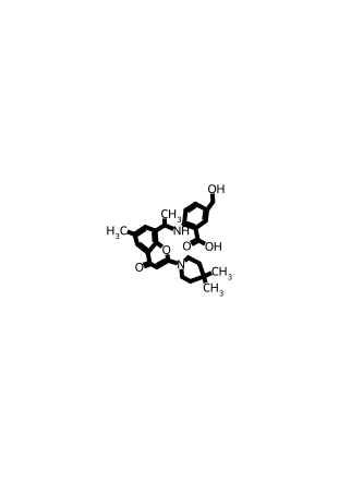 Cc1cc(C(C)Nc2ccc(CO)cc2C(=O)O)c2oc(N3CCC(C)(C)CC3)cc(=O)c2c1